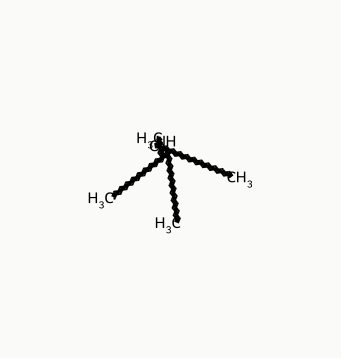 CCCCCCCCCCCCCCCCCCc1cc(C(=O)NC)cc(CCCCCCCCCCCCCCCCCC)c1CCCCCCCCCCCCCCCCCC